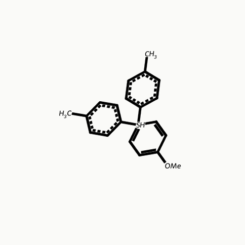 COC1=CC=[SH](c2ccc(C)cc2)(c2ccc(C)cc2)C=C1